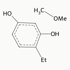 CCc1ccc(O)cc1O.COC